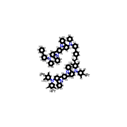 Cc1cc(N(c2cc(C)c(C(C)C)c(C)c2)c2ccc3c4cc5c(cc4n4c6ccccc6c2c34)c2ccc(N(c3cc(C)c(C(C)C)c(C)c3)c3cc(C)c(C(C)Cc4ccc(-c6cccc(N(c7ccccc7)c7ccc8c9cc%10c(cc9n9c%11ccccc%11c7c89)c7ccc(N(c8ccccc8)c8cccc(-c9ccccc9)c8)c8c9ccccc9n%10c78)c6)cc4)c(C)c3)c3c4ccccc4n5c23)cc(C)c1C(C)C